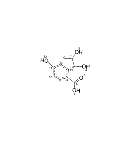 CC(O)CO.O=C(O)c1ccc(O)cc1